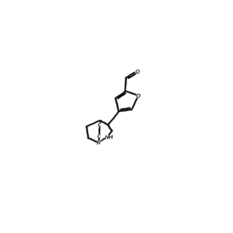 O=Cc1cc(C2CNN3CCC2CC3)co1